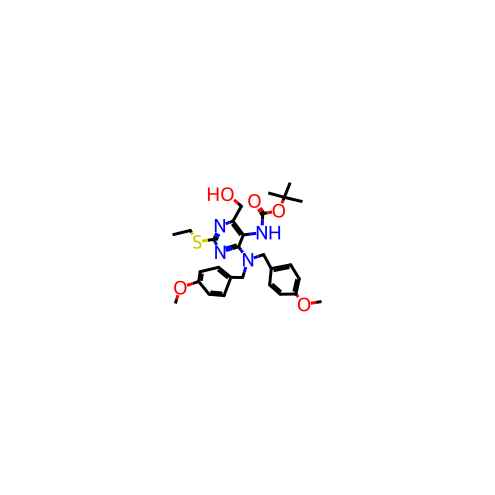 CCSc1nc(CO)c(NC(=O)OC(C)(C)C)c(N(Cc2ccc(OC)cc2)Cc2ccc(OC)cc2)n1